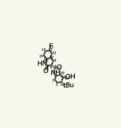 CC(C)(C)c1ccc(NC(=O)c2cc3cc(F)ccc3[nH]c2=O)cc1O